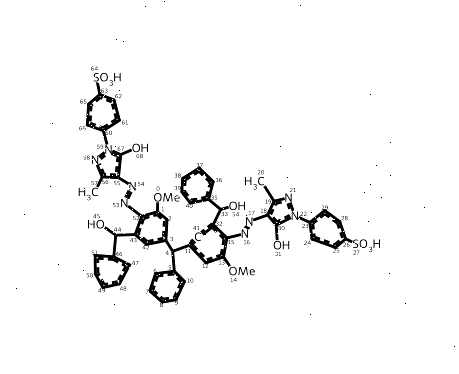 COc1cc(C(c2ccccc2)c2cc(OC)c(/N=N/c3c(C)nn(-c4ccc(S(=O)(=O)O)cc4)c3O)c(C(O)c3ccccc3)c2)cc(C(O)c2ccccc2)c1/N=N/c1c(C)nn(-c2ccc(S(=O)(=O)O)cc2)c1O